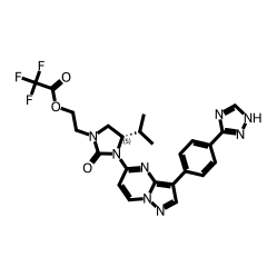 CC(C)[C@H]1CN(CCOC(=O)C(F)(F)F)C(=O)N1c1ccn2ncc(-c3ccc(-c4nc[nH]n4)cc3)c2n1